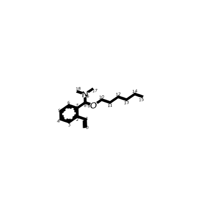 C=Cc1ccccc1C(OCCCCCC)N(C)C